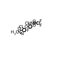 Cn1cnc2ccc(Oc3c(F)ccc(NS(=O)(=O)N4CC(F)C(F)C4)c3Cl)c(Cl)c2c1=O